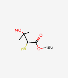 CC(C)(C)OC(=O)C(S)C(C)(C)O